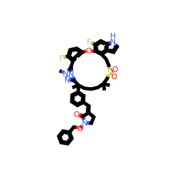 Cn1nc2nc1-c1cc(ccc1F)Oc1c(F)cc3[nH]ccc3c1CCS(=O)(=O)CC(C)(C)CCCC2(C)c1cccc(/C=C2/CCN(OCc3ccccc3)C2=O)c1